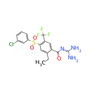 CCc1cc(S(=O)(=O)c2cccc(Cl)c2)c(C(F)(F)F)cc1C(=O)N=C(N)N